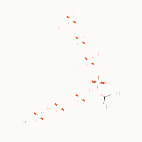 CC(C)OS(=O)(=O)O.O=S(=O)(O)O.O=S(=O)(O)O.O=S(=O)(O)O.O=S(=O)(O)O.O=S(=O)(O)O.O=S(=O)(O)O.[KH]